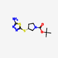 CC(C)(C)OC(=O)N1CC[C@@H](Sc2nnc(N)s2)C1